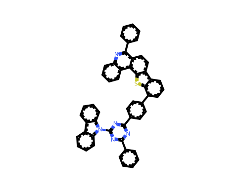 c1ccc(-c2nc(-c3ccc(-c4cccc5c4sc4c5ccc5c(-c6ccccc6)nc6ccccc6c54)cc3)nc(-n3c4ccccc4c4ccccc43)n2)cc1